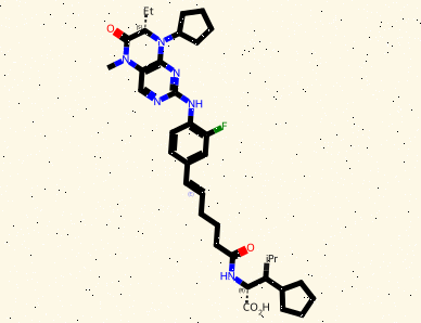 CC[C@H]1C(=O)N(C)c2cnc(Nc3ccc(/C=C/CCCC(=O)N[C@@H](C(=O)O)C(C(C)C)C4CCCC4)cc3F)nc2N1C1CCCC1